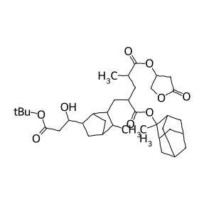 CC(CC(CC1C(C)C2CC(C(O)CC(=O)OC(C)(C)C)C1C2)C(=O)OC1(C)C2CC3CC(C2)CC1C3)C(=O)OC1COC(=O)C1